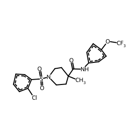 CC1(C(=O)Nc2ccc(OC(F)(F)F)cc2)CCN(S(=O)(=O)c2ccccc2Cl)CC1